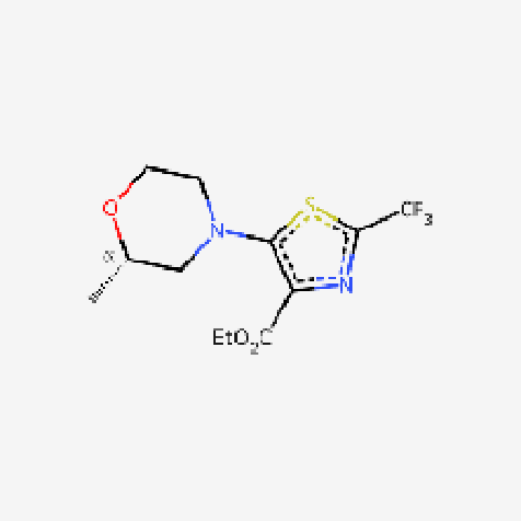 CCOC(=O)c1nc(C(F)(F)F)sc1N1CCO[C@@H](C)C1